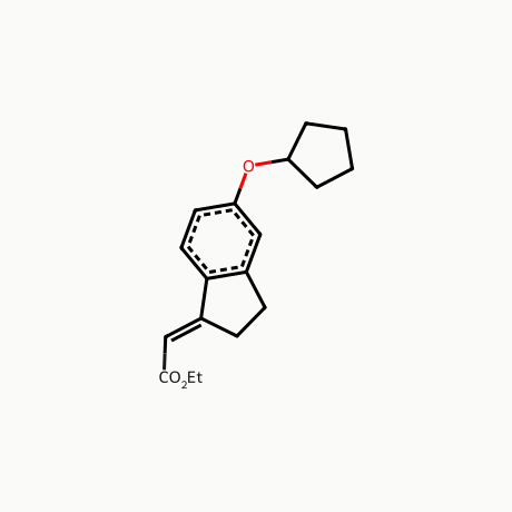 CCOC(=O)/C=C1\CCc2cc(OC3CCCC3)ccc21